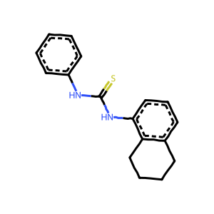 S=C(Nc1ccccc1)Nc1cccc2c1CCCC2